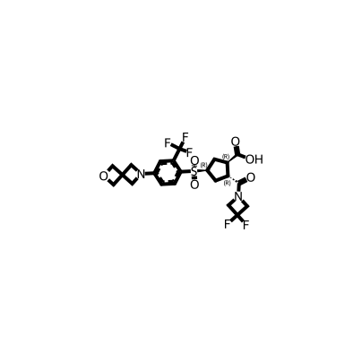 O=C(O)[C@@H]1C[C@H](S(=O)(=O)c2ccc(N3CC4(COC4)C3)cc2C(F)(F)F)C[C@H]1C(=O)N1CC(F)(F)C1